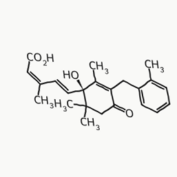 CC1=C(Cc2ccccc2C)C(=O)CC(C)(C)[C@]1(O)/C=C/C(C)=C\C(=O)O